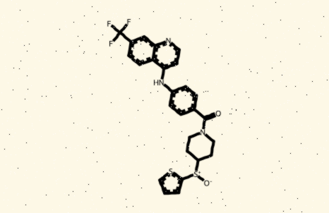 O=C(c1ccc(Nc2ccnc3cc(C(F)(F)F)ccc23)cc1)N1CCC([S+]([O-])c2cccs2)CC1